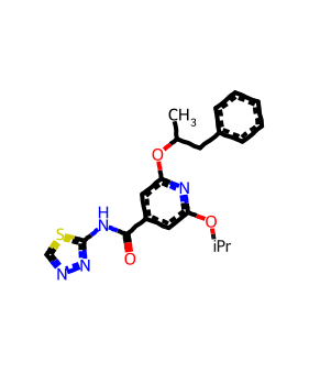 CC(C)Oc1cc(C(=O)Nc2nncs2)cc(OC(C)Cc2ccccc2)n1